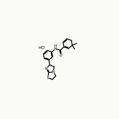 CC1(C)C=C(C(=O)Nc2cccc(C3CN4CCSC4=N3)c2)C=CC1.Cl